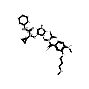 COCCCOc1cc(C(=O)N(C[C@@H]2CNC[C@H]2CN(C(=O)NC2CCCCC2)C2CC2)C(C)C)ccc1OC